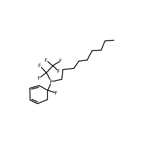 CCCCCCCCCP(C1(F)C=CC=CC1)C(F)(F)C(F)(F)F